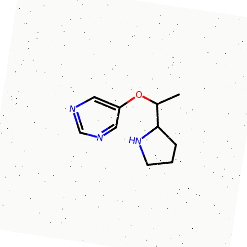 CC(Oc1cncnc1)C1CCCN1